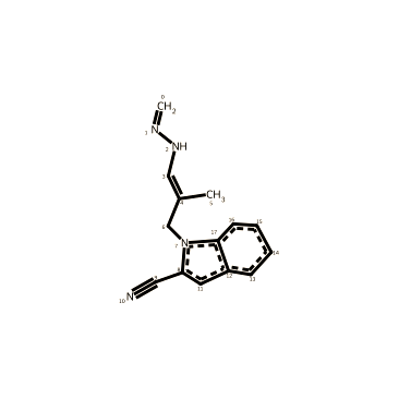 C=NN/C=C(\C)Cn1c(C#N)cc2ccccc21